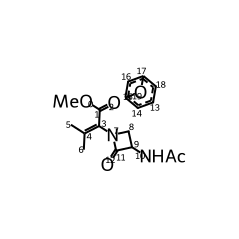 COC(=O)C(=C(C)C)N1CC(NC(C)=O)C1=O.c1cc2cc(c1)O2